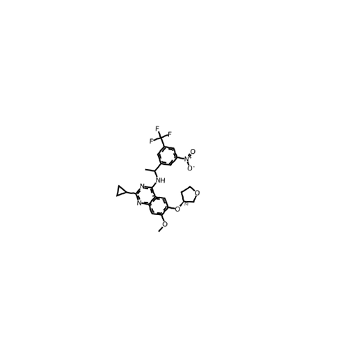 COc1cc2nc(C3CC3)nc(NC(C)c3cc([N+](=O)[O-])cc(C(F)(F)F)c3)c2cc1O[C@H]1CCOC1